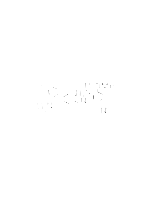 COc1cc2c(cc1Nc1ncc3ccc(-c4ccc(F)cc4CN)cc3n1)CN(C)CC2